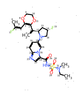 C=C(C1=C(/C=C(\C)F)OCCO1)[C@H]1C[C@H](F)CN1c1ccc2ncc(C(=O)NS(=O)(=O)N(C)CC)n2c1